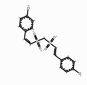 O=S(=O)(C=Cc1ccc(Cl)cc1)CS(=O)(=O)/C=C\c1ccc(Cl)cc1